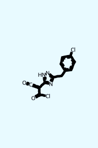 O=C=C(C(=O)Cl)c1nc(Cc2ccc(Cl)cc2)n[nH]1